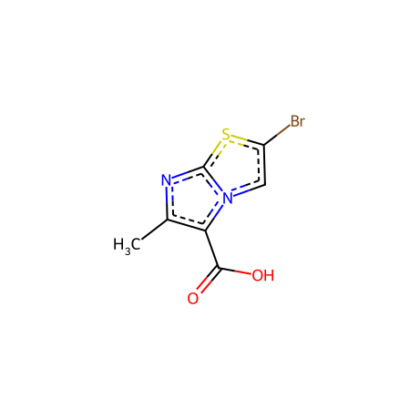 Cc1nc2sc(Br)cn2c1C(=O)O